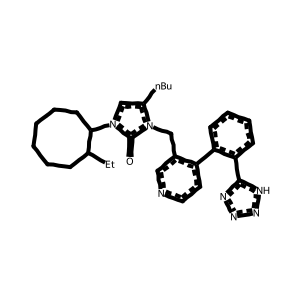 CCCCc1cn(C2CCCCCCC2CC)c(=O)n1Cc1cnccc1-c1ccccc1-c1nnn[nH]1